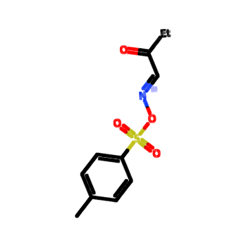 CCC(=O)/C=N/OS(=O)(=O)c1ccc(C)cc1